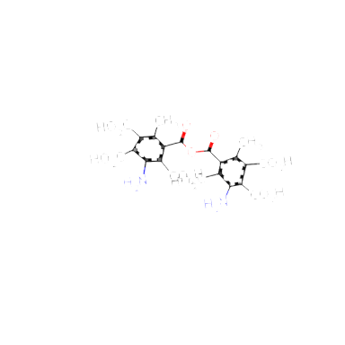 Cc1c(C(=O)O)c(C(=O)O)c(N)c(C(=O)O)c1C(=O)OC(=O)c1c(C)c(C(=O)O)c(C(=O)O)c(N)c1C(=O)O